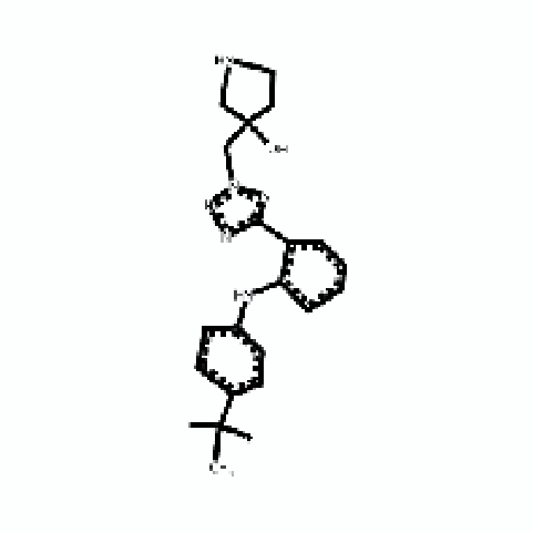 CC(F)(I)c1ccc(Nc2ccccc2-c2nnn(CC3(O)CCNC3)n2)cc1